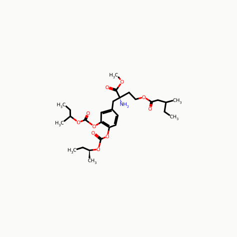 CCC(C)CC(=O)OCC[C@@](N)(Cc1ccc(OC(=O)O[C@@H](C)CC)c(OC(=O)OC(C)CC)c1)C(=O)OC